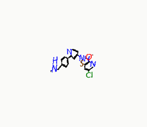 CNCc1ccc(-c2cc(NSc3cc(Cl)cnc3OC)ccn2)cc1